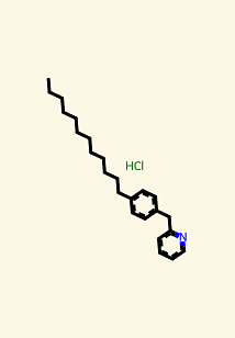 CCCCCCCCCCCCc1ccc(Cc2ccccn2)cc1.Cl